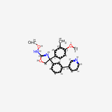 CCOc1ccc(C2(c3cccc(-c4cccnc4)c3)COC(NOC=O)=N2)cc1C